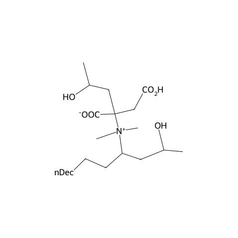 CCCCCCCCCCCCC(CC(C)O)[N+](C)(C)C(CC(=O)O)(CC(C)O)C(=O)[O-]